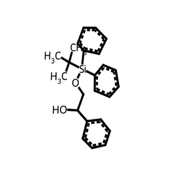 CC(C)(C)[Si](OCC(O)c1ccccc1)(c1ccccc1)c1ccccc1